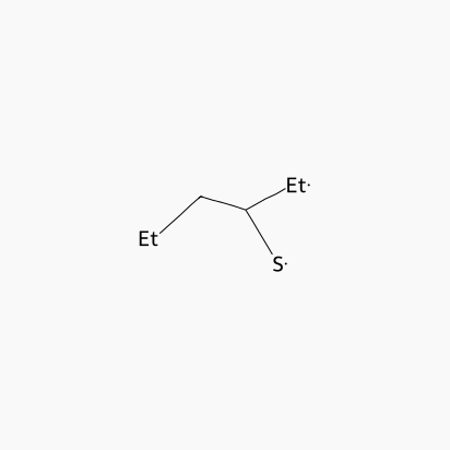 C[CH]C([S])CCC